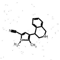 Cc1c(C2CNCc3ccccc32)cc(C#N)n1C